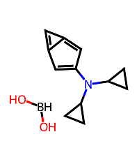 OBO.c1c2cc(N(C3CC3)C3CC3)cc1-2